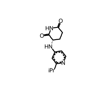 CC(C)c1cc(N[C@H]2CCC(=O)NC2=O)ccn1